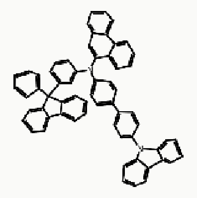 c1ccc(C2(c3cccc(N(c4ccc(-c5ccc(-n6c7ccccc7c7ccccc76)cc5)cc4)c4cc5ccccc5c5ccccc45)c3)c3ccccc3-c3ccccc32)cc1